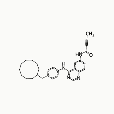 CC#CC(=O)Nc1ccc2ncnc(Nc3ccc(CC4CCCCCCCCC4)cc3)c2c1